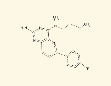 COCCN(C)c1nc(N)nc2ccc(-c3ccc(F)cc3)nc12